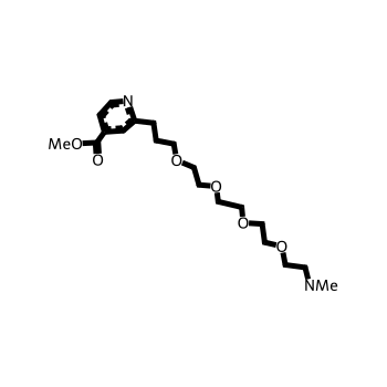 CNCCOCCOCCOCCOCCCc1cc(C(=O)OC)ccn1